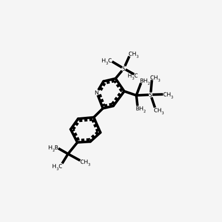 BC(C)(C)c1ccc(-c2cc(C(B)(B)S(C)(C)C)c(S(C)(C)C)cn2)cc1